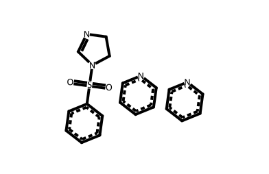 O=S(=O)(c1ccccc1)N1C=NCC1.c1ccncc1.c1ccncc1